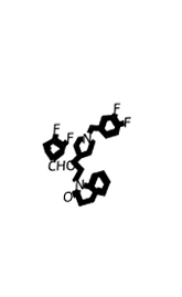 O=C1CCc2ccccc2N1CCCC1CCN(Cc2ccc(F)c(F)c2)CC1.O=Cc1ccc(F)c(F)c1